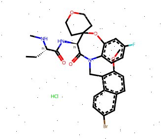 CC[C@H](NC)C(=O)N[C@@H]1C(=O)N(Cc2c(OC)ccc3cc(Br)ccc23)c2ccc(F)cc2OC12CCOCC2.Cl